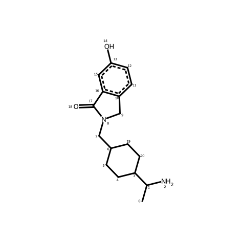 CC(N)C1CCC(CN2Cc3ccc(O)cc3C2=O)CC1